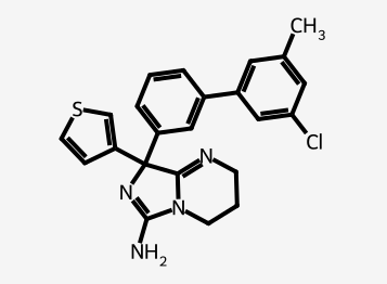 Cc1cc(Cl)cc(-c2cccc(C3(c4ccsc4)N=C(N)N4CCCN=C43)c2)c1